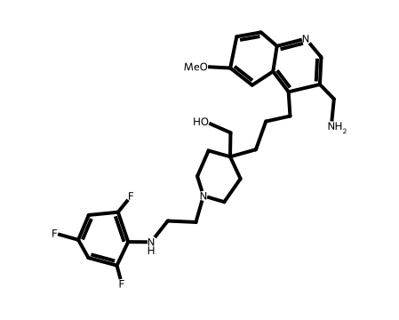 COc1ccc2ncc(CN)c(CCCC3(CO)CCN(CCNc4c(F)cc(F)cc4F)CC3)c2c1